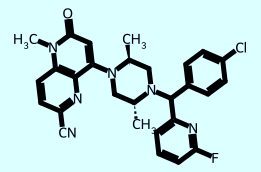 C[C@@H]1CN(c2cc(=O)n(C)c3ccc(C#N)nc23)[C@@H](C)CN1C(c1ccc(Cl)cc1)c1cccc(F)n1